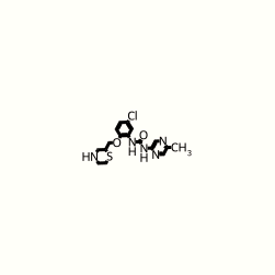 Cc1cnc(NC(=O)Nc2cc(Cl)ccc2OCC2CNCCS2)cn1